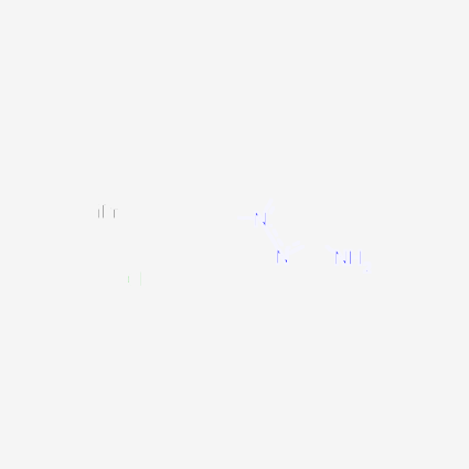 CC(C)c1ccc(-n2ccc(N)n2)cc1Cl